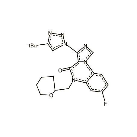 CC(C)(C)c1cn(-c2ncn3c2c(=O)n(CC2CCCCO2)c2cc(F)ccc23)nn1